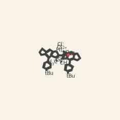 CC(C)CC1=C2c3c(cc4c(c3-c3ccc(C(C)(C)C)cc3)CCC4)[CH]1[Hf+2][CH]1C(CC(C)C)=C(c3c1cc1c(c3-c3ccc(C(C)(C)C)cc3)CCC1)[Si]2(C)C.[Cl-].[Cl-]